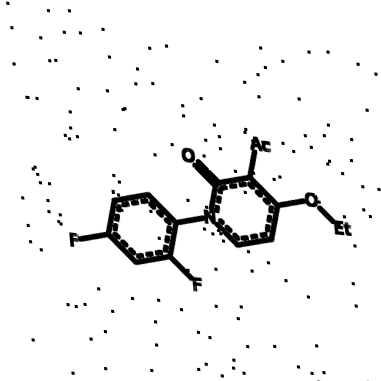 CCOc1ccn(-c2ccc(F)cc2F)c(=O)c1C(C)=O